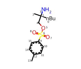 CCCC[C@@](C)(N)COS(=O)(=O)c1ccc(C)cc1